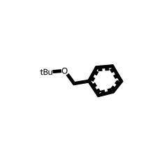 [CH2]C([CH2])(C)OCc1ccccc1